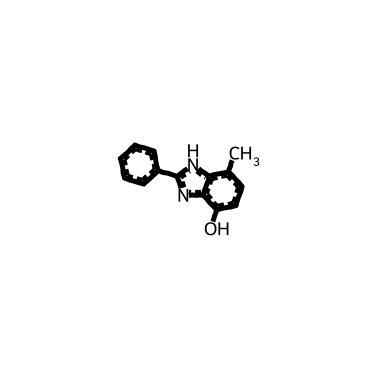 Cc1ccc(O)c2nc(-c3ccccc3)[nH]c12